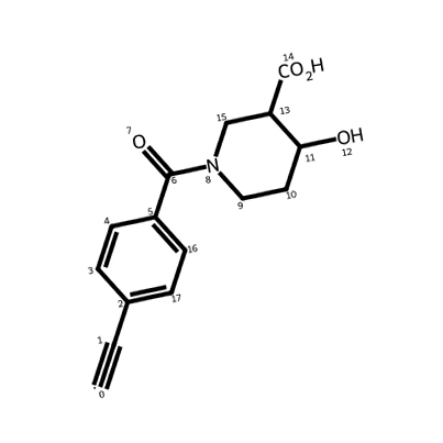 [C]#Cc1ccc(C(=O)N2CCC(O)C(C(=O)O)C2)cc1